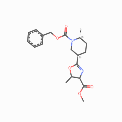 COC(=O)C1N=C([C@@H]2CC[C@@H](C)N(C(=O)OCc3ccccc3)C2)OC1C